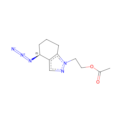 CC(=O)OCCn1ncc2c1CCC[C@@H]2N=[N+]=[N-]